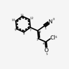 N#CC(=CC(=O)Cl)c1ccccc1